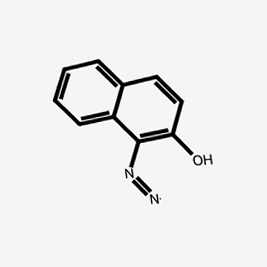 [N]=Nc1c(O)ccc2ccccc12